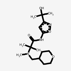 CN(CC1CCOCC1)C(C)(C)C(=O)Nc1cc(C(C)(C)O)no1